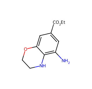 CCOC(=O)c1cc(N)c2c(c1)OCCN2